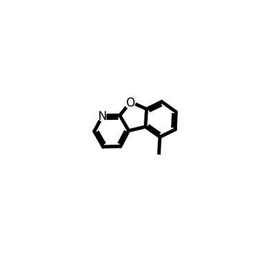 Cc1cccc2oc3ncccc3c12